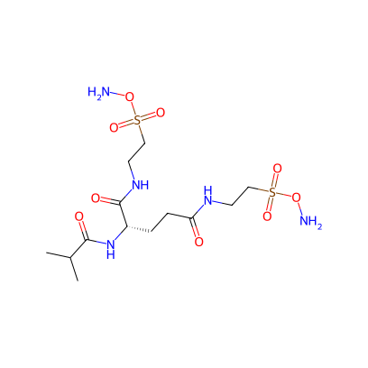 CC(C)C(=O)N[C@@H](CCC(=O)NCCS(=O)(=O)ON)C(=O)NCCS(=O)(=O)ON